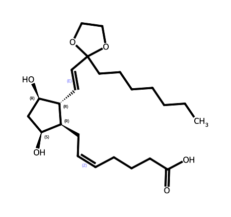 CCCCCCCC1(/C=C/[C@@H]2[C@@H](C/C=C\CCCC(=O)O)[C@@H](O)C[C@H]2O)OCCO1